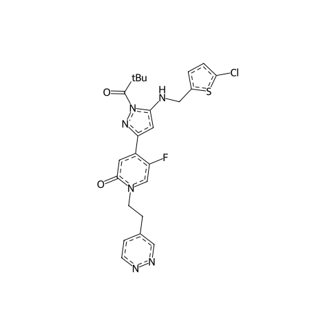 CC(C)(C)C(=O)n1nc(-c2cc(=O)n(CCc3ccnnc3)cc2F)cc1NCc1ccc(Cl)s1